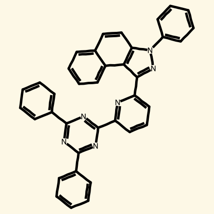 c1ccc(-c2nc(-c3ccccc3)nc(-c3cccc(-c4nn(-c5ccccc5)c5ccc6ccccc6c45)n3)n2)cc1